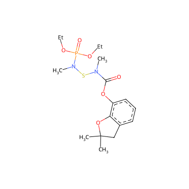 CCOP(=O)(OCC)N(C)SN(C)C(=O)Oc1cccc2c1OC(C)(C)C2